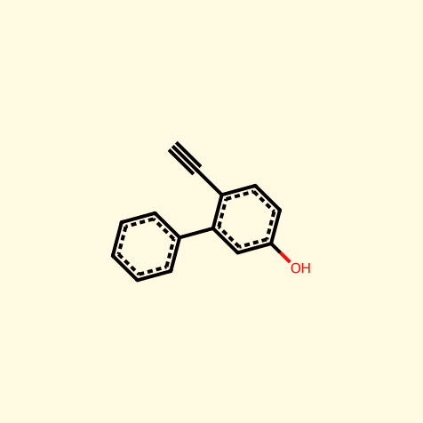 C#Cc1ccc(O)cc1-c1ccccc1